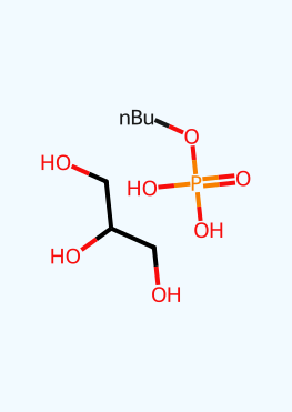 CCCCOP(=O)(O)O.OCC(O)CO